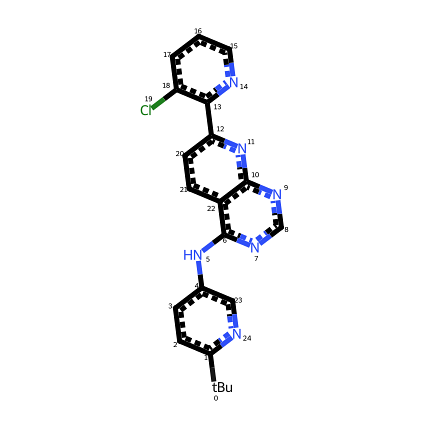 CC(C)(C)c1ccc(Nc2ncnc3nc(-c4ncccc4Cl)ccc23)cn1